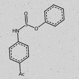 CC(=O)c1ccc(NS(=O)Oc2ccccc2)cc1